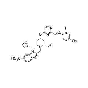 N#Cc1ccc(OCc2nccc(O[C@H]3CCN(Cc4nc5ccc(C(=O)O)cc5n4C[C@@H]4CCO4)[C@@H](CF)C3)n2)c(F)c1